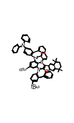 CC(C)(C)c1ccc(N2c3cc(C(C)(C)C)cc4c3B(c3ccccc3N4c3ccc(N(c4ccccc4)c4ccccc4)cc3-c3ccccc3)c3c2oc2cc4c(cc32)C(C)(C)CCC4(C)C)c(-c2ccccc2)c1